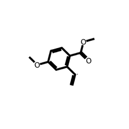 C=[C]c1cc(OC)ccc1C(=O)OC